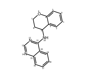 c1ccc2c(c1)OCCC2Nc1ncnc2ccccc12